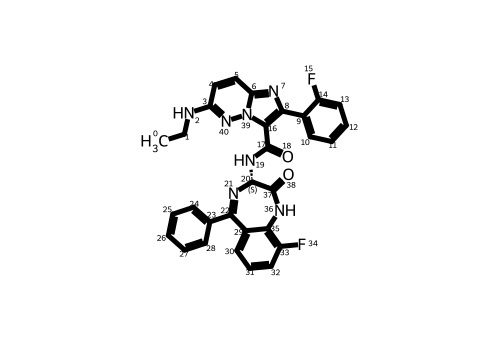 CCNc1ccc2nc(-c3ccccc3F)c(C(=O)N[C@H]3N=C(c4ccccc4)c4cccc(F)c4NC3=O)n2n1